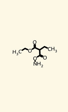 CCOC(=O)C(CC)C(=O)ON